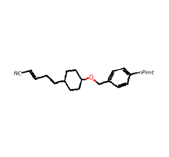 CCCCCc1ccc(COC2CCC(CCC=CC#N)CC2)cc1